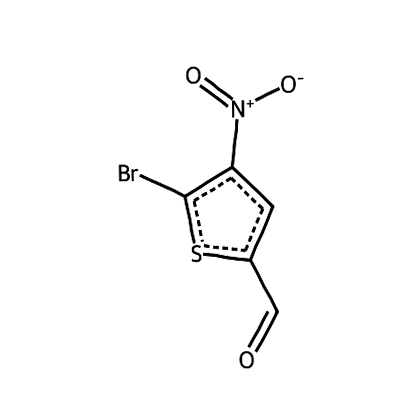 O=Cc1cc([N+](=O)[O-])c(Br)s1